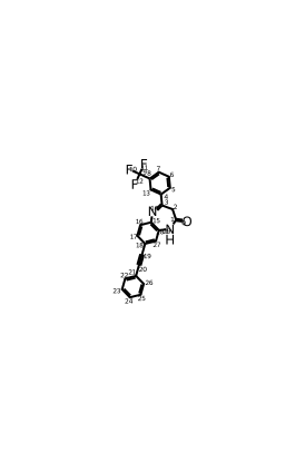 O=C1CC(c2cccc(C(F)(F)F)c2)=Nc2ccc(C#Cc3ccccc3)cc2N1